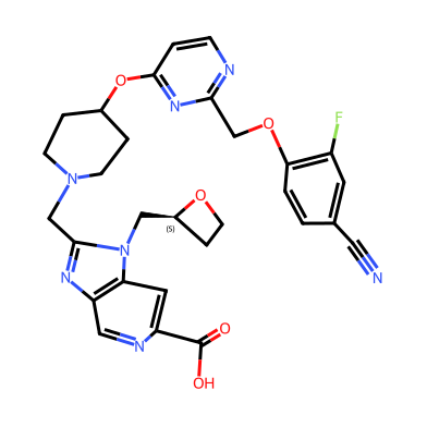 N#Cc1ccc(OCc2nccc(OC3CCN(Cc4nc5cnc(C(=O)O)cc5n4C[C@@H]4CCO4)CC3)n2)c(F)c1